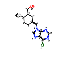 CC1CC/C(=C\n2cnc3c(Cl)ncnc32)CC1CO